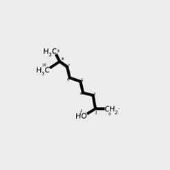 [CH2]C(O)CCCCCC(C)C